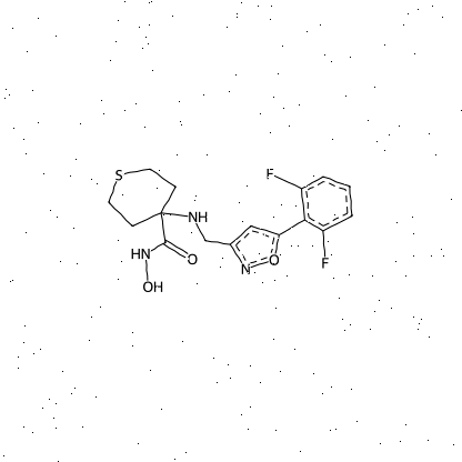 O=C(NO)C1(NCc2cc(-c3c(F)cccc3F)on2)CCSCC1